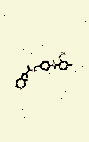 COc1cc(F)ccc1S(=O)(=O)c1ccc(CNC(=O)c2cc3ccncc3s2)cc1